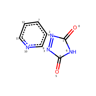 O=C1N=NC(=O)N1.c1ccncc1